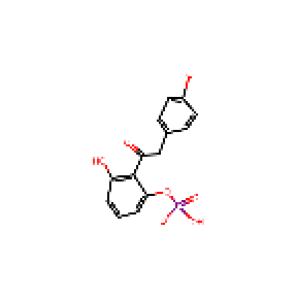 O=C(Cc1ccc(O)cc1)c1c(O)cccc1OP(=O)(O)O